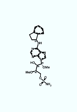 CO[C@H]([C@H](O)[C@@H](COS(N)(=O)=O)OC)n1cnc2c(N[C@H]3CCc4ccccc43)ncnc21